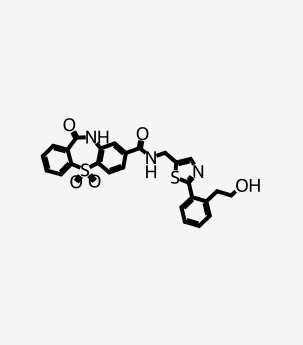 O=C(NCc1cnc(-c2ccccc2CCO)s1)c1ccc2c(c1)NC(=O)c1ccccc1S2(=O)=O